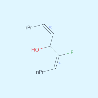 CCC/C=C\C(O)/C(F)=C\CCC